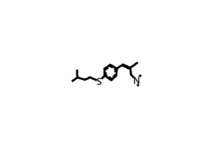 CC(=Cc1ccc(SCCC(C)C)cc1)CN(C)C